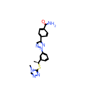 C[C@H](Sc1nncn1C)c1cccc(-n2ncc(-c3ccc(C(N)=O)cc3)n2)c1